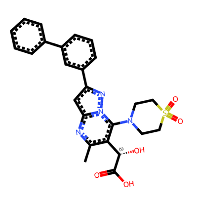 Cc1nc2cc(-c3cccc(-c4ccccc4)c3)nn2c(N2CCS(=O)(=O)CC2)c1[C@H](O)C(=O)O